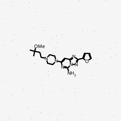 COC(C)(C)CCN1CCN(c2cc3nc(-c4ccco4)nn3c(N)n2)CC1